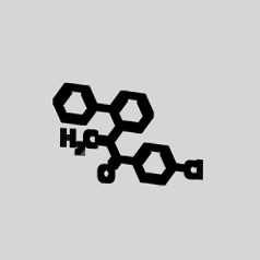 C=C(C(=O)c1ccc(Cl)cc1)c1ccccc1-c1ccccc1